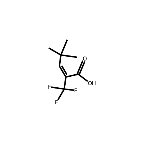 CC(C)(C)C=C(C(=O)O)C(F)(F)F